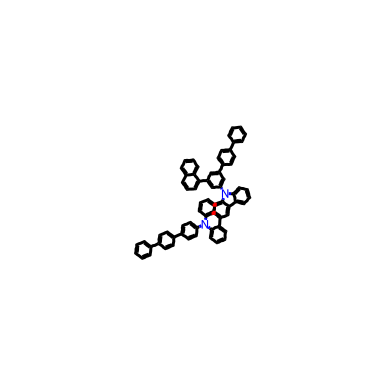 c1ccc(-c2ccc(-c3ccc(N(c4ccccc4)c4ccccc4-c4ccc5c(c4)c4ccccc4n5-c4cc(-c5ccc(-c6ccccc6)cc5)cc(-c5cccc6ccccc56)c4)cc3)cc2)cc1